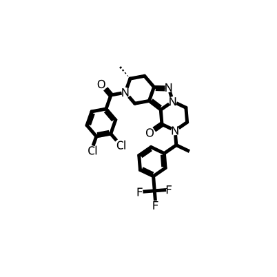 CC(c1cccc(C(F)(F)F)c1)N1CCn2nc3c(c2C1=O)CN(C(=O)c1ccc(Cl)c(Cl)c1)[C@H](C)C3